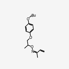 C=CC(C)=NOC(C)COc1ccc(OC(C)CC)cc1